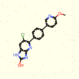 COc1ccc(-c2ccc(-c3nc4nc(O)[nH]c4cc3Cl)cc2)cn1